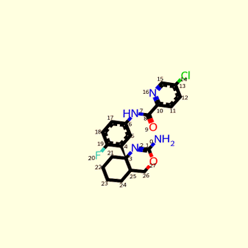 NC1=N[C@@]2(c3cc(NC(=O)c4ccc(Cl)cn4)ccc3F)CCCCC2CO1